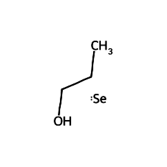 CCCO.[Se]